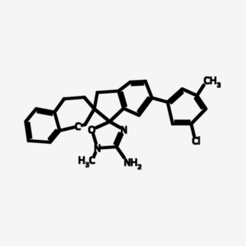 Cc1cc(Cl)cc(-c2ccc3c(c2)C2(N=C(N)N(C)O2)C2(CCc4ccccc4CC2)C3)c1